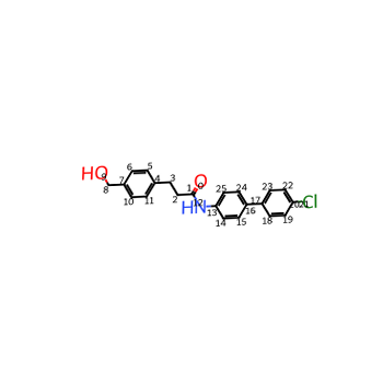 O=C(CCc1ccc(CO)cc1)Nc1ccc(-c2ccc(Cl)cc2)cc1